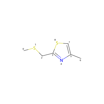 CSCc1nc(C)cs1